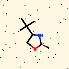 C[C@H]1NC(C(C)(C)C)CO1